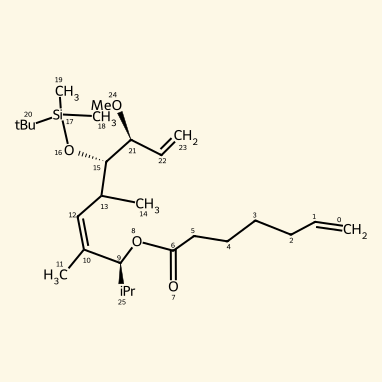 C=CCCCCC(=O)O[C@H](/C(C)=C\C(C)[C@H](O[Si](C)(C)C(C)(C)C)[C@H](C=C)OC)C(C)C